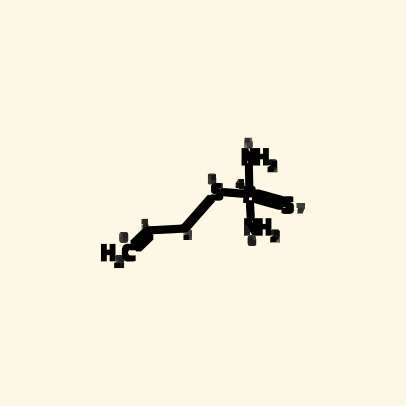 C=CCSP(N)(N)=S